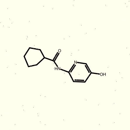 O=C(Nc1ccc(O)cn1)C1CCCCC1